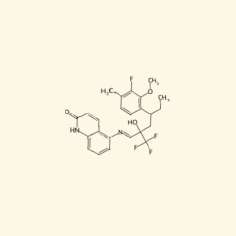 CCC(CC(O)(/C=N/c1cccc2[nH]c(=O)ccc12)C(F)(F)F)c1ccc(C)c(F)c1OC